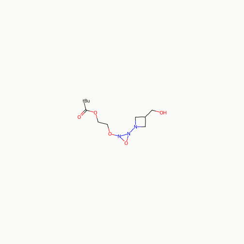 CC(C)(C)C(=O)OCCOn1on1N1CC(CO)C1